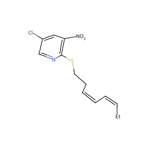 CC/C=C\C=C/CCSc1ncc(Cl)cc1[N+](=O)[O-]